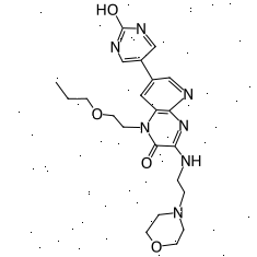 CCCOCCn1c(=O)c(NCCN2CCOCC2)nc2ncc(-c3cnc(O)nc3)cc21